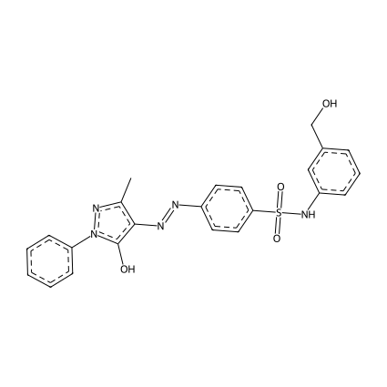 Cc1nn(-c2ccccc2)c(O)c1/N=N/c1ccc(S(=O)(=O)Nc2cccc(CO)c2)cc1